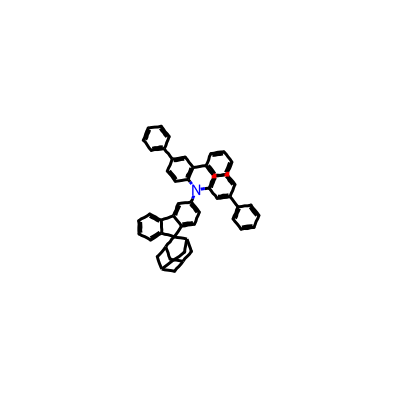 c1ccc(-c2cccc(N(c3ccc4c(c3)-c3ccccc3C43C4CC5CC(C4)CC3C5)c3ccc(-c4ccccc4)cc3-c3ccccc3)c2)cc1